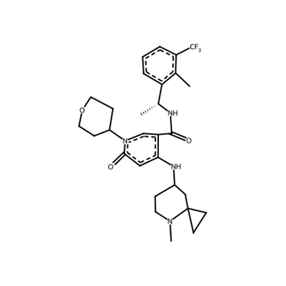 Cc1c([C@@H](C)NC(=O)c2cn(C3CCOCC3)c(=O)cc2NC2CCN(C)C3(CC3)C2)cccc1C(F)(F)F